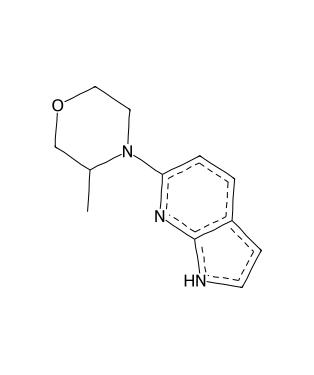 CC1COCCN1c1ccc2cc[nH]c2n1